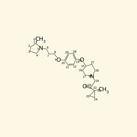 C[C@@H]1CCCN1CCCOc1ccc(OC2CCN(CC(=O)C3(C)CC3)CC2)cc1